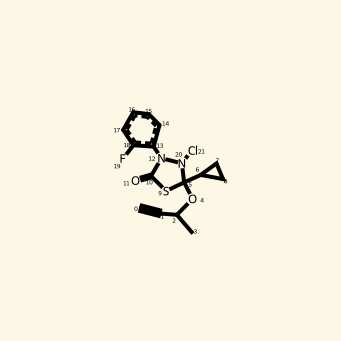 C#CC(C)OC1(C2CC2)SC(=O)N(c2ccccc2F)N1Cl